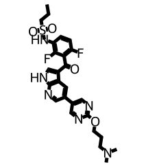 CCCS(=O)(=O)Nc1ccc(F)c(C(=O)c2c[nH]c3ncc(-c4cnc(OCCCN(C)C)nc4)cc23)c1F